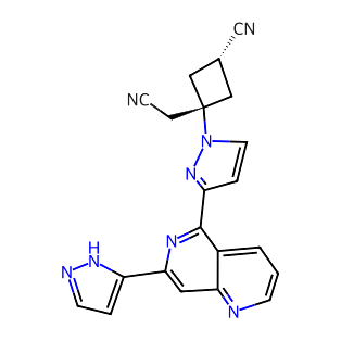 N#CC[C@]1(n2ccc(-c3nc(-c4ccn[nH]4)cc4ncccc34)n2)C[C@@H](C#N)C1